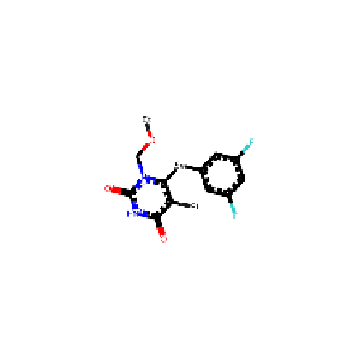 CCOCn1c([Se]c2cc(F)cc(F)c2)c(CC)c(=O)[nH]c1=O